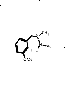 COc1cccc(C[C@H](C)N(C)C(C)=O)c1